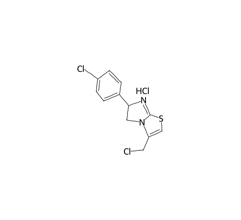 Cl.ClCC1=CSC2=NC(c3ccc(Cl)cc3)CN12